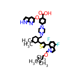 CC1(C)CCC(CN2CCN(c3ccc(C(=O)O)c(Oc4cnc5[nH]ccc5c4)c3)CC2)=C(c2cc(-c3c(F)cc(F)c4ccn(COCC[Si](C)(C)C)c34)cs2)C1